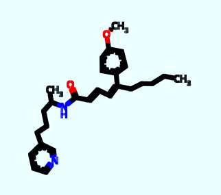 CCCCCC(=CC=CC(=O)NC(C)CCCc1cccnc1)c1ccc(OC)cc1